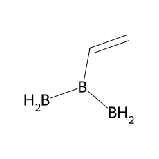 BB(B)C=C